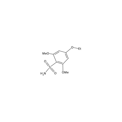 CCOc1cc(OC)c(S(N)(=O)=O)c(OC)c1